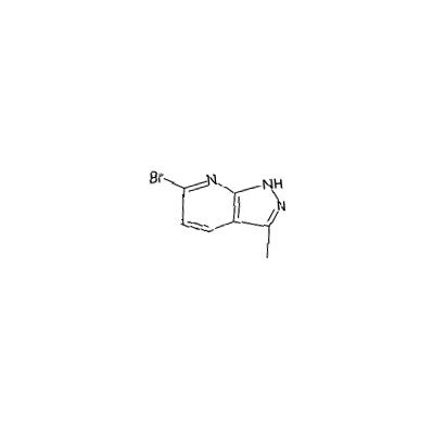 Cc1n[nH]c2nc(Br)ccc12